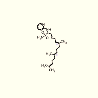 CC(C)=CCC/C(C)=C/CC/C(C)=C/CSCC(Nc1ccccn1)S(N)(=O)=O